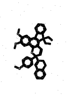 CCC1(CC)c2ccccc2-c2c1c1c(c3cc(OC)c(OC)cc23)OC(C2=Cc3ccccc3CC2)(c2ccc(OC)cc2)C=C1